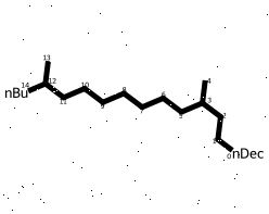 CCCCCCCCCCCCC(C)CCCCCCCC(C)CCCC